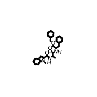 CC(NC(=O)c1cc2ccccc2n1C)C(=O)NC(Cc1ccccc1)C(=O)OCc1ccccc1